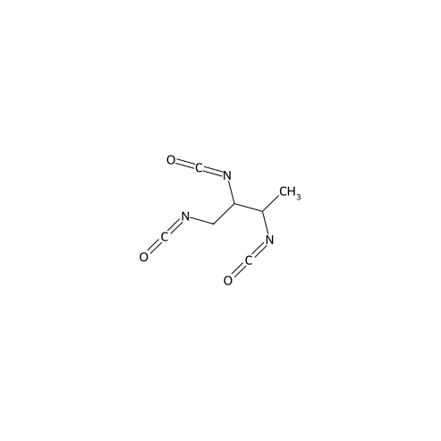 CC(N=C=O)C(CN=C=O)N=C=O